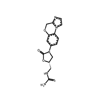 NC(=S)NC[C@H]1CN(c2ccc3c(c2)OCc2nccn2-3)C(=O)O1